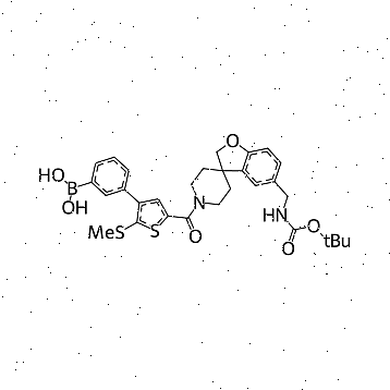 CSc1sc(C(=O)N2CCC3(CC2)COc2ccc(CNC(=O)OC(C)(C)C)cc23)cc1-c1cccc(B(O)O)c1